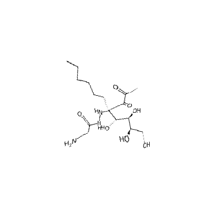 CCCCCC[C@](NNC(=O)CN)(C(=O)C(C)=O)[C@@H](O)[C@@H](O)[C@H](O)CO